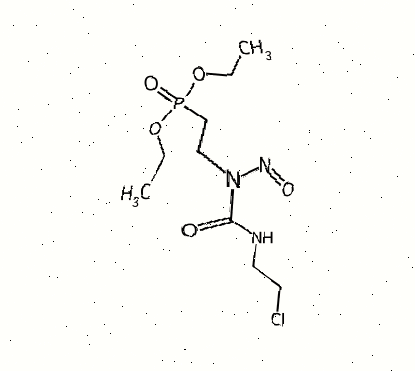 CCOP(=O)(CCN(N=O)C(=O)NCCCl)OCC